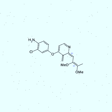 C=c1c(Oc2ccc(N)c(Cl)c2)ccn/c1=C/C(OC)=C(\C)OC